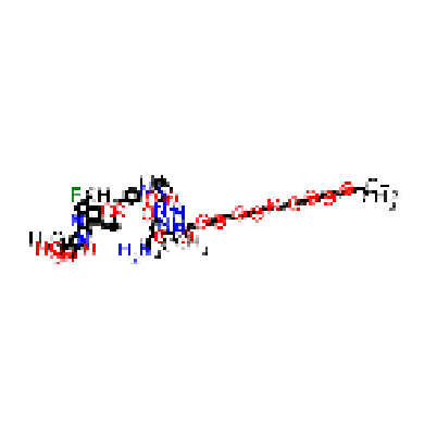 CC[C@@]1(O)C(=O)OCc2c1cc1n(c2=O)Cc2c-1nc1cc(F)c(C)c3c1c2[C@@H](CC1=C(C(=O)OCc2ccc(N(C)C(=O)[C@H]4CCCN4C(=O)CNC(=O)[C@@H](CCCCN)NC(=O)C(NC(=O)CCOCCOCCOCCOCCOCCOCCOCCOCCOCCC(C)C)C(C)C)cc2)CC1)CC3